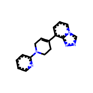 C1=C(c2cccn3cnnc23)CCN(c2ccccn2)C1